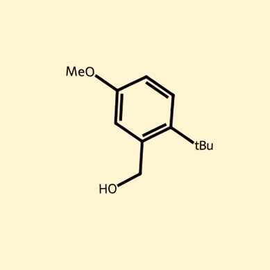 COc1ccc(C(C)(C)C)c(CO)c1